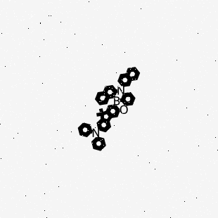 CC1(C)c2cc(N(c3ccccc3)c3ccccc3)ccc2-c2cc3c(cc21)B1c2c(cccc2N(c2ccc4ccccc4c2)c2ccc4ccccc4c21)O3